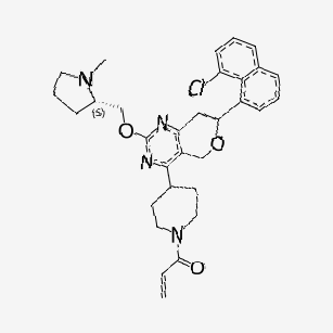 C=CC(=O)N1CCC(c2nc(OC[C@@H]3CCCN3C)nc3c2COC(c2cccc4cccc(Cl)c24)C3)CC1